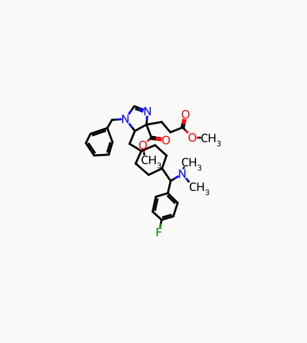 COC(=O)CCC1(C(=O)OC)N=CN(Cc2ccccc2)C1CC1CCC(C(c2ccc(F)cc2)N(C)C)CC1